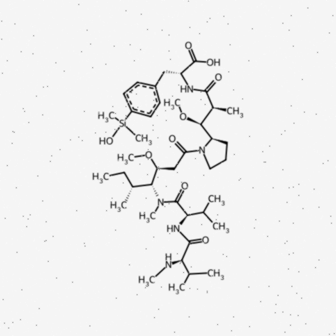 CC[C@@H](C)[C@H]([C@H](CC(=O)N1CCC[C@@H]1[C@@H](OC)[C@H](C)C(=O)N[C@H](Cc1ccc([Si](C)(C)O)cc1)C(=O)O)OC)N(C)C(=O)[C@H](NC(=O)[C@H](NC)C(C)C)C(C)C